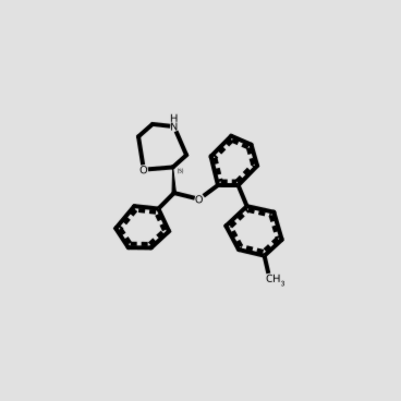 Cc1ccc(-c2ccccc2OC(c2ccccc2)[C@@H]2CNCCO2)cc1